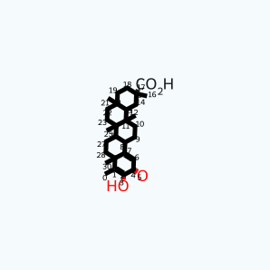 CC1=C(O)C(=O)C=C2C3CCC4(C)C5CC(C)(C(=O)O)CCC5(C)CCC4(C)C3CCC21C